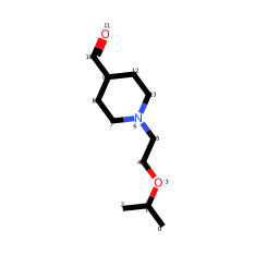 CC(C)OCCN1CCC(C=O)CC1